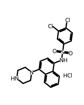 Cl.O=S(=O)(Nc1ccc(N2CCNCC2)c2ccccc12)c1ccc(Cl)c(Cl)c1